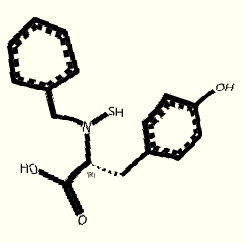 O=C(O)[C@@H](Cc1ccc(O)cc1)N(S)Cc1ccccc1